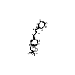 FC(F)(F)Oc1ccc(CCC=C2CCCCC2)cc1